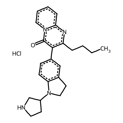 CCCCc1nc2ccccn2c(=O)c1-c1ccc2c(c1)CCN2C1CCNC1.Cl